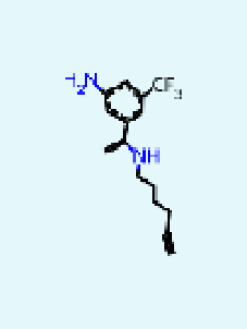 C#CCCCCNC(=C)c1cc(N)cc(C(F)(F)F)c1